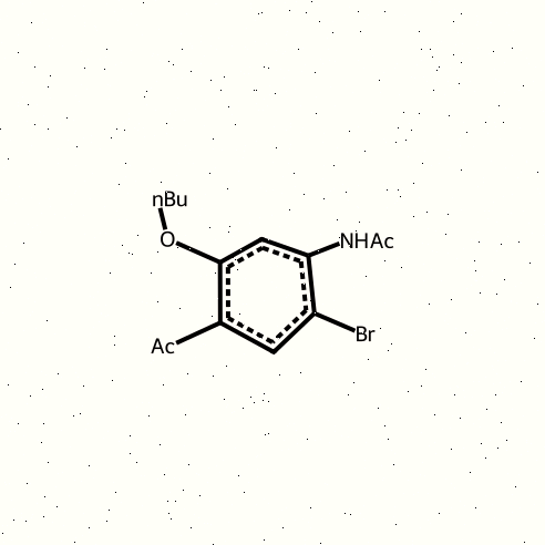 CCCCOc1cc(NC(C)=O)c(Br)cc1C(C)=O